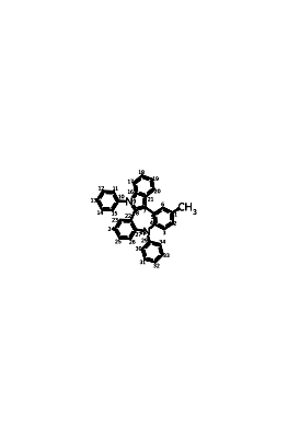 Cc1ccc2c(c1)-c1c(n(-c3ccccc3)c3ccccc13)-c1ccccc1N2c1ccccc1